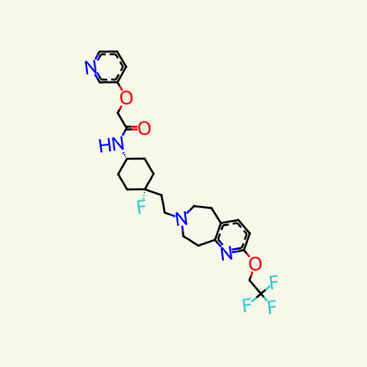 O=C(COc1cccnc1)N[C@H]1CC[C@](F)(CCN2CCc3ccc(OCC(F)(F)F)nc3CC2)CC1